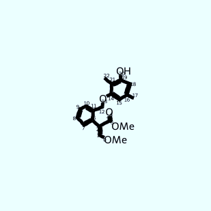 CO/C=C(\C(=O)OC)c1ccccc1COc1cc(C)cc(O)c1C